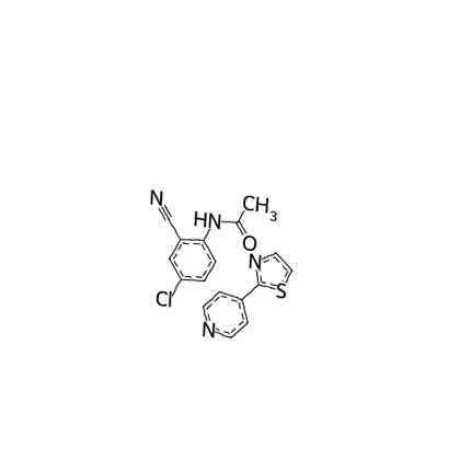 CC(=O)Nc1ccc(Cl)cc1C#N.c1cc(-c2nccs2)ccn1